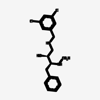 O=C(O)N[C@@H](Cc1ccccc1)[C@H](O)CNCc1cc(Cl)cc(Cl)c1